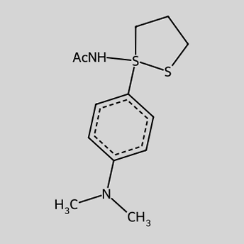 CC(=O)NS1(c2ccc(N(C)C)cc2)CCCS1